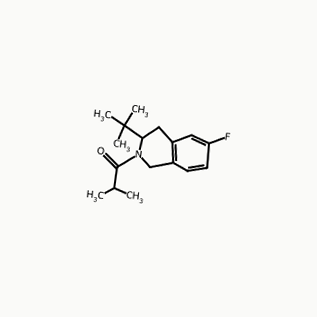 CC(C)C(=O)N1Cc2ccc(F)cc2CC1C(C)(C)C